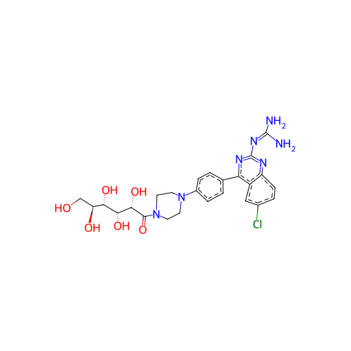 NC(N)=Nc1nc(-c2ccc(N3CCN(C(=O)[C@@H](O)[C@H](O)[C@@H](O)[C@@H](O)CO)CC3)cc2)c2cc(Cl)ccc2n1